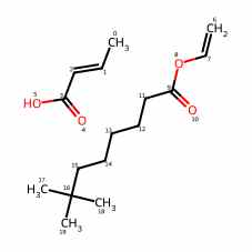 C/C=C/C(=O)O.C=COC(=O)CCCCCC(C)(C)C